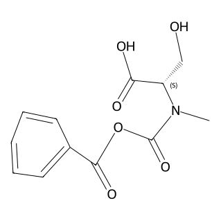 CN(C(=O)OC(=O)c1ccccc1)[C@@H](CO)C(=O)O